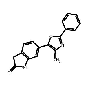 Cc1nc(-c2ccccc2)oc1-c1ccc2c(c1)NC(=O)C2